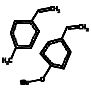 C=Cc1ccc(C)cc1.C=Cc1ccc(OC(C)(C)C)cc1